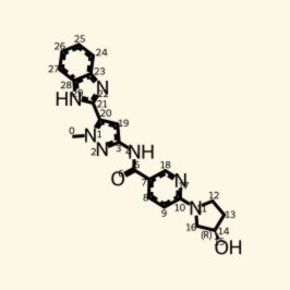 Cn1nc(NC(=O)c2ccc(N3CC[C@@H](O)C3)nc2)cc1-c1nc2ccccc2[nH]1